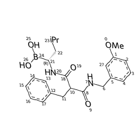 COc1cccc(CNC(=O)C(Cc2ccccc2)C(=O)N[C@@H](CC(C)C)B(O)O)c1